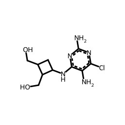 Nc1nc(Cl)c(N)c(NC2CC(CO)C2CO)n1